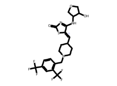 O=C1N=C(NC2COCC2O)/C(=C/C2CCN(Cc3ccc(C(F)(F)F)cc3C(F)(F)F)CC2)S1